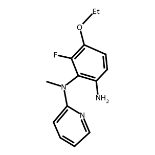 CCOc1ccc(N)c(N(C)c2ccccn2)c1F